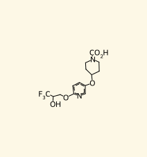 O=C(O)N1CCC(Oc2ccc(OCC(O)C(F)(F)F)nc2)CC1